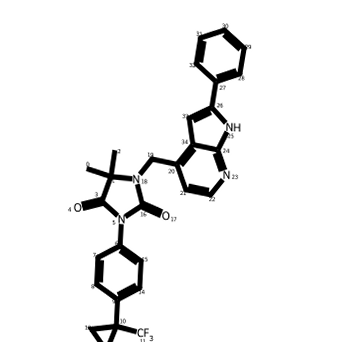 CC1(C)C(=O)N(c2ccc(C3(C(F)(F)F)CC3)cc2)C(=O)N1Cc1ccnc2[nH]c(-c3ccccc3)cc12